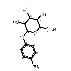 Nc1ccc(OC2OC(C(=O)O)C(O)C(O)C2O)cc1